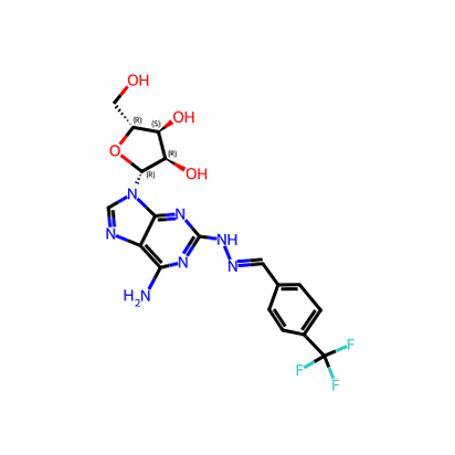 Nc1nc(NN=Cc2ccc(C(F)(F)F)cc2)nc2c1ncn2[C@@H]1O[C@H](CO)[C@@H](O)[C@H]1O